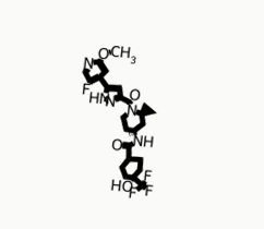 COc1cc(-c2cc(C(=O)N3CC[C@H](NC(=O)C4CCC(O)(C(F)(F)F)CC4)CC34CC4)n[nH]2)c(F)cn1